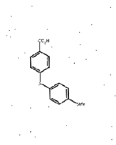 CSc1ccc(Sc2ccc(C(=O)O)cc2)cc1